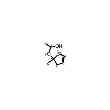 CC(O)OC1(C)CC=CS1